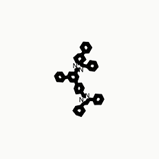 c1ccc(-c2cc(-c3ccc(-c4nc(-c5ccccc5)cc(-c5ccccc5)n4)cc3)cc(-c3nc(-c4ccccc4)c4cc(-c5ccccc5)ccc4n3)c2)cc1